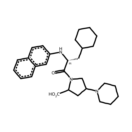 O=C(O)C1CC(N2CCCCC2)CN1C(=O)[C@@H](CC1CCCCC1)Nc1ccc2ccccc2c1